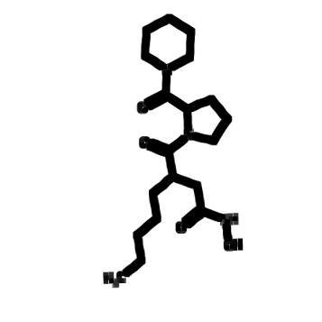 CCCCCC(CC(=O)NO)C(=O)N1CCCC1C(=O)N1CCCCC1